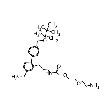 CCc1ccc(-c2ccc(CO[Si](C)(C)C(C)(C)C)cc2)c(CCCNC(=O)COCCOCCN)c1